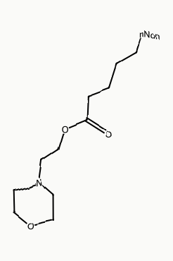 CCCCCCCCCCCCCC(=O)OCCN1CCOCC1